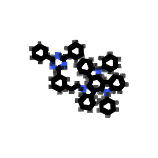 c1ccc(-c2nc(-c3ccccc3)nc(-c3cccc(CCn4c5ccccc5c5c4c4c6ccccc6n(-c6ccccc6)c4c4c6ccccc6n(-c6ccccc6)c54)c3)n2)cc1